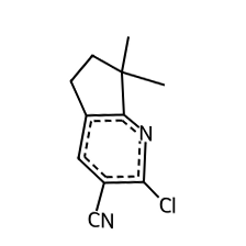 CC1(C)CCc2cc(C#N)c(Cl)nc21